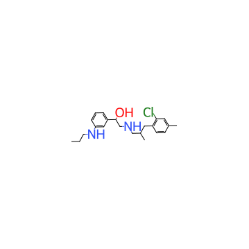 CCCNc1cccc(C(O)CNCC(C)Cc2ccc(C)cc2Cl)c1